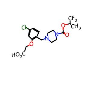 CC(OC(=O)N1CCN(Cc2ccc(Cl)cc2OCC(=O)O)CC1)C(F)(F)F